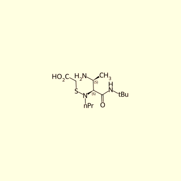 CCCN(SCC(=O)O)[C@H](C(=O)NC(C)(C)C)[C@H](C)N